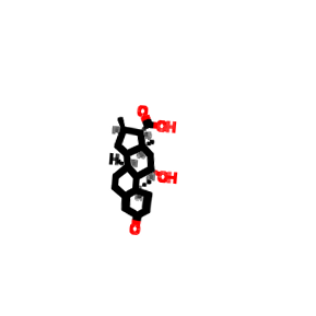 C[C@@H]1CC2[C@@H]3CCC4=CC(=O)C=C[C@]4(C)C3[C@@H](O)C[C@]2(C)[C@H]1C(=O)O